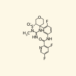 CN1C(=N)NC2(c3cc(NC(=O)c4ncc(F)cc4F)ccc3F)CCOCC2[S+]1[O-]